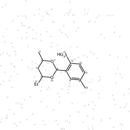 CCC1CC(C)OC(c2cc(C)ccc2S(=O)(=O)O)O1